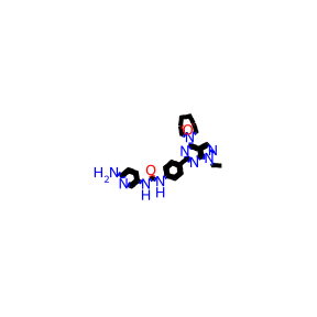 CCn1ncc2c(N3CC4CCC(C3)O4)nc(-c3ccc(NC(=O)Nc4ccc(N)nc4)cc3)nc21